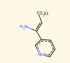 CCOC(=O)C=C(N)c1cccnc1